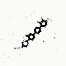 CCCCCC1COC(c2ccc(-c3ccc(-c4ccc(C)c(F)c4F)cc3)cc2F)OC1